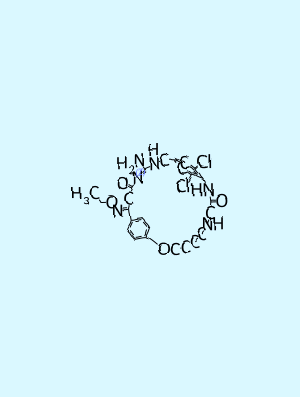 CCON=C1CC(=O)/N=C(/N)NCc2cc(Cl)c(c(Cl)c2)NC(=O)CNCCCCOc2ccc1cc2